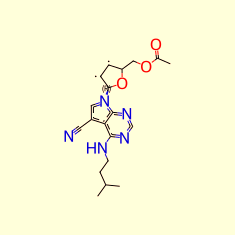 CC(=O)OCC1[CH][CH][C@H](n2cc(C#N)c3c(NCCC(C)C)ncnc32)O1